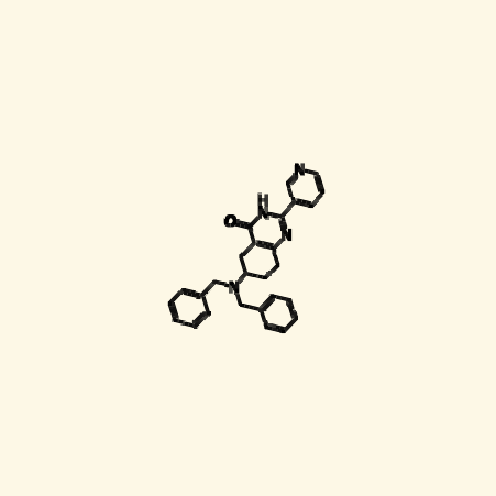 O=c1[nH]c(-c2cccnc2)nc2c1CC(N(Cc1ccccc1)Cc1ccccc1)CC2